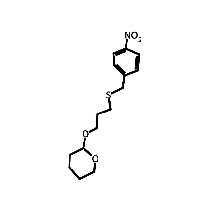 O=[N+]([O-])c1ccc(CSCCCOC2CCCCO2)cc1